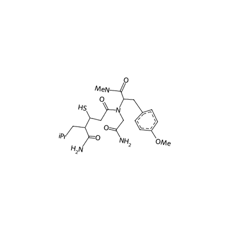 CNC(=O)C(Cc1ccc(OC)cc1)N(CC(N)=O)C(=O)CC(S)C(CC(C)C)C(N)=O